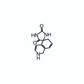 O=C1NC(=O)C2(CC=CC3=C2C=CNC3)N1